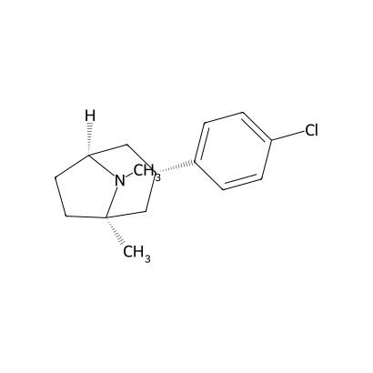 CN1[C@H]2CC[C@]1(C)C[C@@H](c1ccc(Cl)cc1)C2